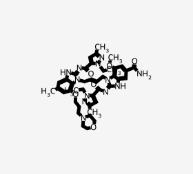 CCn1nc(C)cc1C(=O)/N=c1/[nH]c2cc(C(N)=O)cc(OC)c2n1C/C=C/Cn1/c(=N\C(=O)c2cc(C)nn2CC)[nH]c2cc(C)cc(OCCCN3CCOCC3)c21